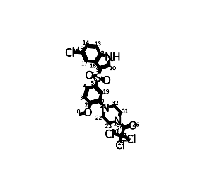 COc1ccc(S(=O)(=O)c2c[nH]c3ccc(Cl)cc23)cc1N1CCN(C(=O)C(Cl)(Cl)Cl)CC1